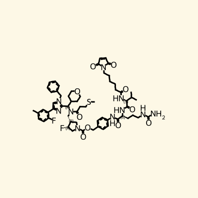 CSCCC(=O)N(C[C@@H]1CN(C(=O)OCc2ccc(NC(=O)[C@H](CCCNC(N)=O)NC(=O)[C@@H](NC(=O)CCCCCN3C(=O)C=CC3=O)C(C)C)cc2)C[C@@H]1F)[C@@H](c1nc(-c2cc(C)ccc2F)cn1Cc1ccccc1)C1CCOCC1